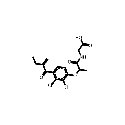 C=C(CC)C(=O)c1ccc(OC(C)C(=O)NCC(=O)O)c(Cl)c1Cl